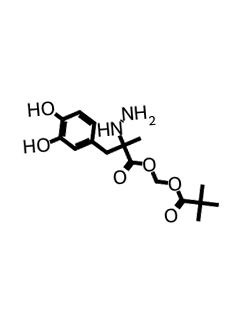 CC(C)(C)C(=O)OCOC(=O)C(C)(Cc1ccc(O)c(O)c1)NN